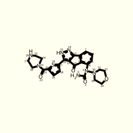 NC(=O)N(c1cccc2c1C(=O)c1c-2n[nH]c1-c1ccc(C(=O)N2CCNCC2)s1)N1CCOCC1